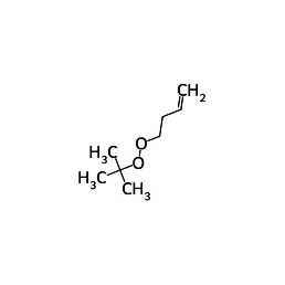 C=CCCOOC(C)(C)C